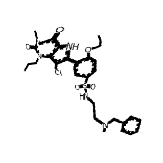 CCCn1c(=O)n(C)c(=O)c2[nH]c(-c3cc(S(=O)(=O)NCCN(C)Cc4ccccc4)ccc3OCC)c(Cl)c21